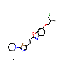 CCC(CF)COc1ccc2nc(/C=C/c3cnc(N4CCCCC4)s3)oc2c1